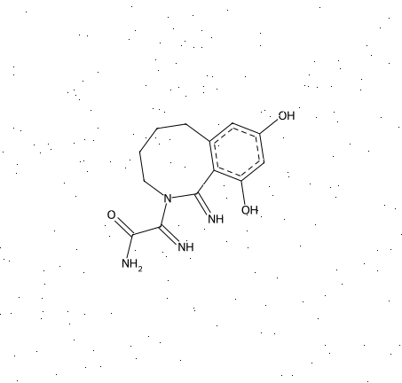 N=C(C(N)=O)N1CCCCc2cc(O)cc(O)c2C1=N